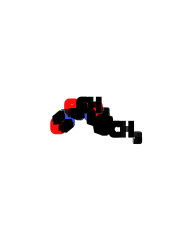 Cc1ccc(CC(=O)N(C)CC(=O)N2CCOCC2)cc1